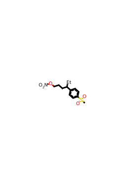 CCC([CH]CCO[N+](=O)[O-])c1ccc(S(C)(=O)=O)cc1